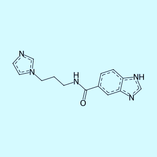 O=C(NCCCn1ccnc1)c1ccc2[nH]cnc2c1